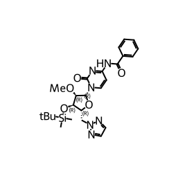 CO[C@@H]1[C@H](O[Si](C)(C)C(C)(C)C)[C@@H](Cn2nccn2)O[C@H]1n1ccc(NC(=O)c2ccccc2)nc1=O